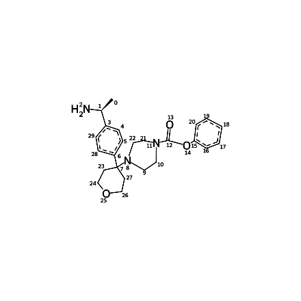 C[C@H](N)c1ccc(C2(N3CCN(C(=O)Oc4ccccc4)CC3)CCOCC2)cc1